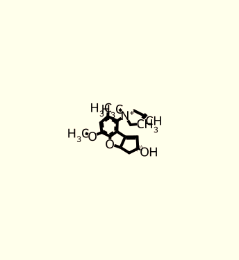 C#CC[N+](C)(CC)c1c(C)cc(OC)c2c1C1=C[C@H](O)CC1O2